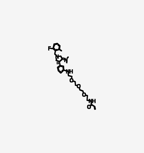 C=CC(=O)NCCOCCOCCOCCNc1cccc([C@H]2CN(Cc3c(C)cccc3F)C[C@@H]2N(C)C)c1